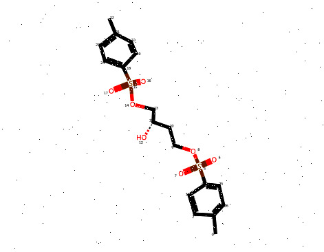 Cc1ccc(S(=O)(=O)OCC[C@H](O)COS(=O)(=O)c2ccc(C)cc2)cc1